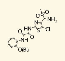 CC(C)COc1ccccc1NC(=O)C(=O)Nc1nc(C(N)S(C)(=O)=O)c(Cl)s1